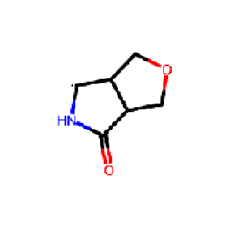 O=C1N[CH]C2COCC12